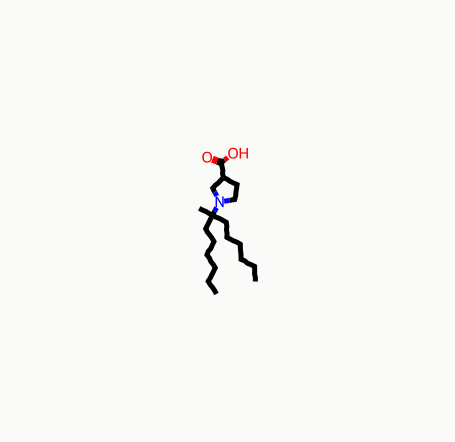 CCCCCCC(C)(CCCCCC)N1CCC(C(=O)O)C1